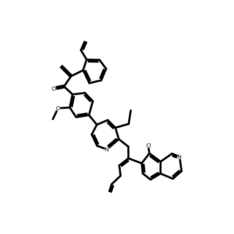 C=CC/C=C(/CC1=NC=CC(c2ccc(C(=O)C(=C)c3ccccc3C=C)c(OC)c2)C=C1CC)c1ccc2ccncc2c1Cl